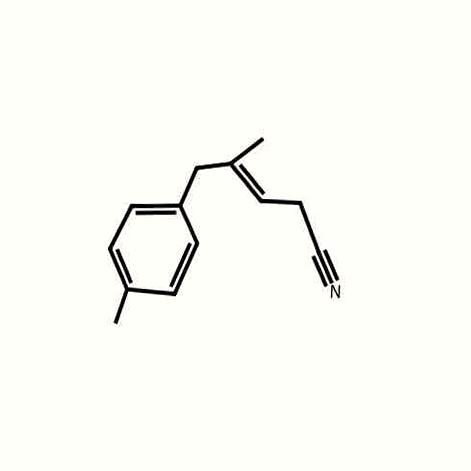 CC(=CCC#N)Cc1ccc(C)cc1